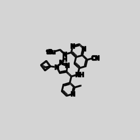 Cc1ncccc1C(Nc1cc(C#N)c2ncnc(NCC(C)(C)C)c2c1)c1cn(C23CC(C2)C3)nn1